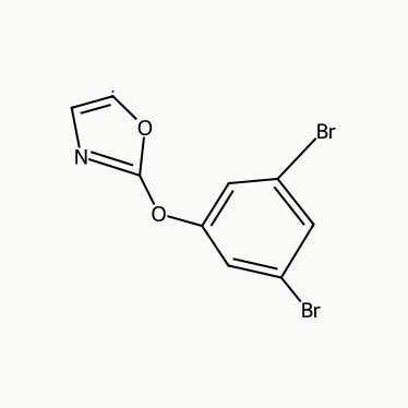 Brc1cc(Br)cc(Oc2nc[c]o2)c1